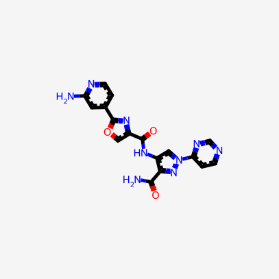 NC(=O)c1nn(-c2ccncn2)cc1NC(=O)c1coc(-c2ccnc(N)c2)n1